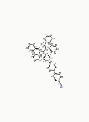 N#Cc1ccc(-c2ccc(-c3ccc(C4c5c(c6ccccc6c6ccccc56)Sc5c4c4ccccc4c4ccccc54)cc3)cc2)cc1